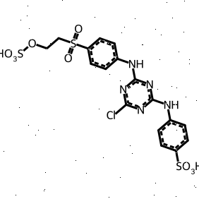 O=S(=O)(O)OCCS(=O)(=O)c1ccc(Nc2nc(Cl)nc(Nc3ccc(S(=O)(=O)O)cc3)n2)cc1